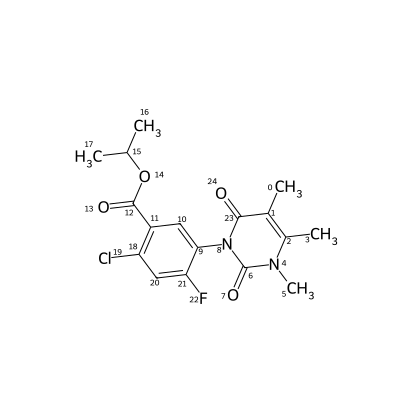 Cc1c(C)n(C)c(=O)n(-c2cc(C(=O)OC(C)C)c(Cl)cc2F)c1=O